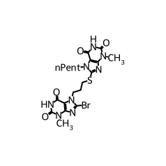 CCCCCn1c(SCCCn2c(Br)nc3c2c(=O)[nH]c(=O)n3C)nc2c1c(=O)[nH]c(=O)n2C